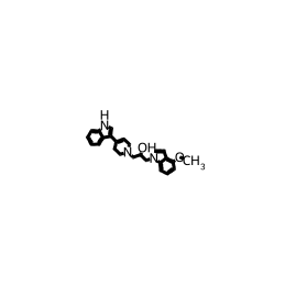 COc1cccc2c1ccn2CC(O)CN1CC=C(c2c[nH]c3ccccc23)CC1